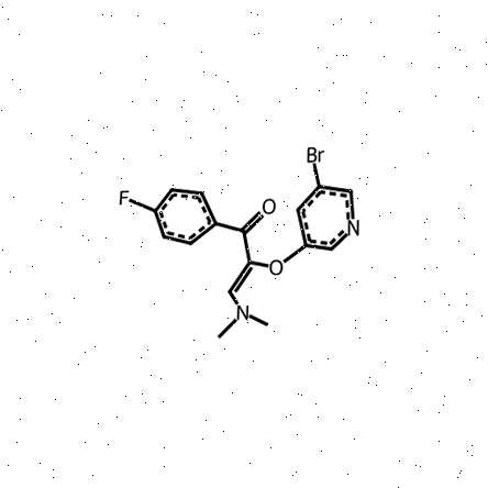 CN(C)/C=C(\Oc1cncc(Br)c1)C(=O)c1ccc(F)cc1